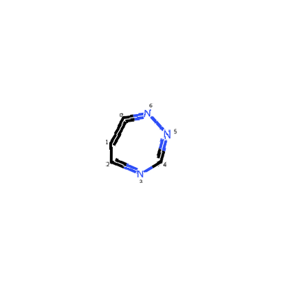 C1=CC=NC=NN=1